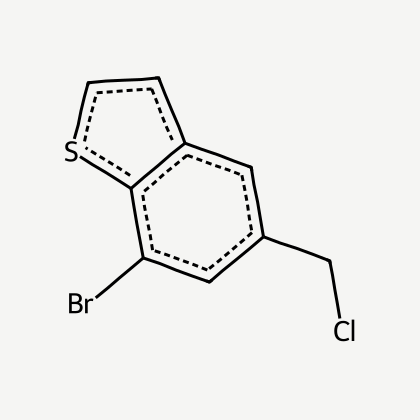 ClCc1cc(Br)c2sccc2c1